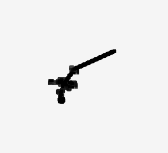 CC#CC#CC#CC#CC#CC#CC#CC#CC#CC#CC(=O)NCCCC/C=C/CC1[C@@H](OP(=O)(O)OC)[C@@H](COC(=O)OCc2ccccc2)O[C@H]1n1ccc(=O)[nH]c1=O